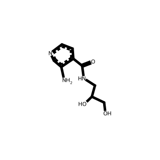 Nc1cnccc1C(=O)NCC(O)CO